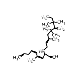 C#CC(/C=C(C)\C=C/CC=C)NC/C=C(\C)CC(C)(C)C(=C)C(C)(C)CC